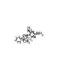 C[Si](C)(c1ccccc1)C1CCc2nc(N)nc(N)c2C1